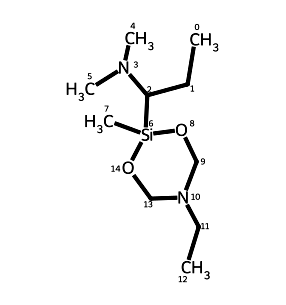 CCC(N(C)C)[Si]1(C)OCN(CC)CO1